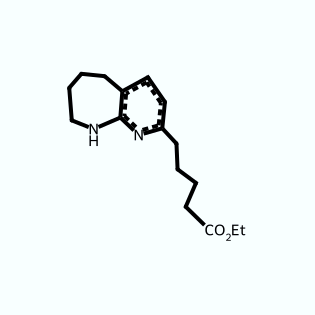 CCOC(=O)CCCCc1ccc2c(n1)NCCCC2